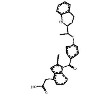 Cc1cc2c(CC(=O)O)cccc2n1C(=O)c1ccc(OC(C)C2CCc3ccccc3N2)cc1